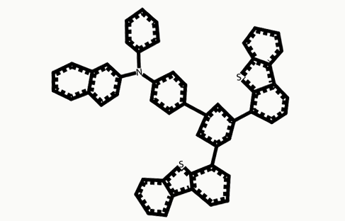 c1ccc(N(c2ccc(-c3cc(-c4cccc5c4sc4ccccc45)cc(-c4cccc5c4sc4ccccc45)c3)cc2)c2ccc3ccccc3c2)cc1